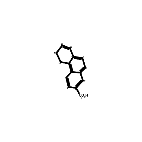 O=C(O)c1ccc2c3c(ccc2c1)C=CCC3